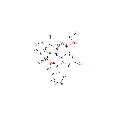 CCOC(=O)c1cc(Cl)cc(C)c1NC(=O)C(C)[N+]1(CC(=O)OCc2ccccc2)CCCC1